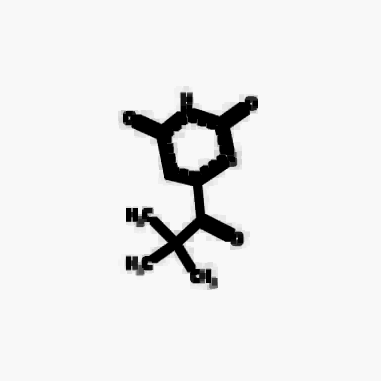 CC(C)(C)C(=O)c1cc(=O)[nH]c(=O)s1